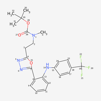 CN(CCc1nnc(-c2ccccc2Nc2ccc(C(F)(F)F)cc2)o1)C(=O)OC(C)(C)C